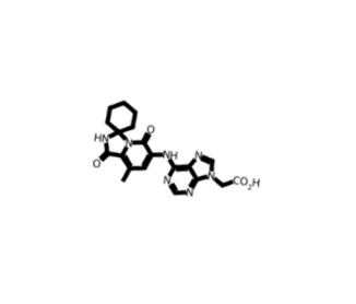 Cc1cc(Nc2ncnc3c2ncn3CC(=O)O)c(=O)n2c1C(=O)NC21CCCCC1